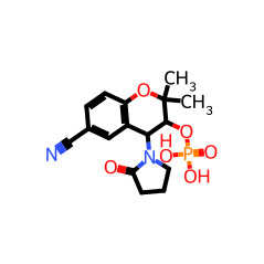 CC1(C)Oc2ccc(C#N)cc2C(N2CCCC2=O)C1OP(=O)(O)O